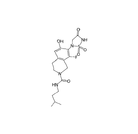 CC(C)CCNC(=O)N1CCc2cc(O)c(N3CC(=O)NS3(=O)=O)c(F)c2C1